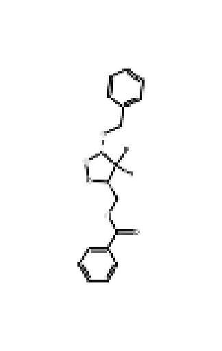 O=C(OC[C@H]1OS[C@H](OCc2ccccc2)C1(F)F)c1ccccc1